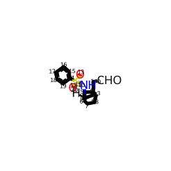 O=CCC1C2CCC(CC2)[C@@H]1NS(=O)(=O)c1ccccc1